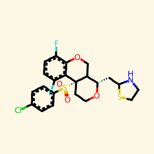 O=S(=O)(c1ccc(Cl)cc1)[C@@]12CCO[C@@H](CC3NCCS3)C1COc1c(F)ccc(F)c12